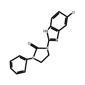 O=C1N(c2ccccc2)CCN1c1nc2cc(Cl)ccc2[nH]1